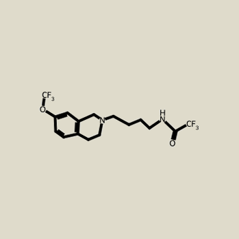 O=C(NCCCCN1CCc2ccc(OC(F)(F)F)cc2C1)C(F)(F)F